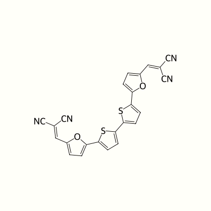 N#CC(C#N)=Cc1ccc(-c2ccc(-c3ccc(-c4ccc(C=C(C#N)C#N)o4)s3)s2)o1